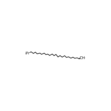 [CH]=CCCCCCCCCCCCCCCCCCCCCCCCC(C)C